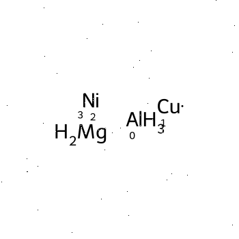 [AlH3].[Cu].[MgH2].[Ni]